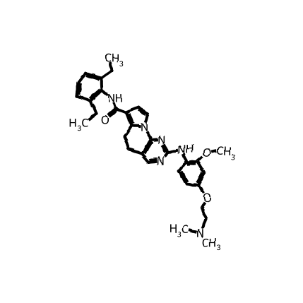 CCc1cccc(CC)c1NC(=O)c1ccn2c1CCc1cnc(Nc3ccc(OCCN(C)C)cc3OC)nc1-2